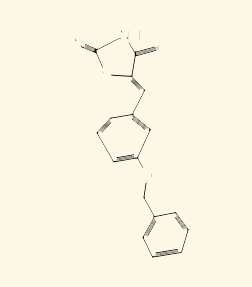 N=C1NC(=O)/C(=C/c2cccc(OCc3ccccc3)c2)S1